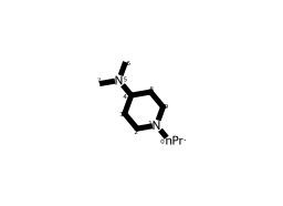 CC[CH]N1CCC(N(C)C)CC1